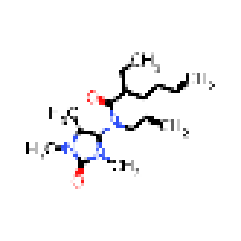 C=CCCC(CC)C(=O)N(CC=C)[C@@H]1[C@H](C)N(C)C(=O)N1C